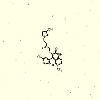 O=C(CCN1CCC(O)C1)CSc1c(-c2cc(Cl)ccc2O)c2cc(C(F)(F)F)ccc2[nH]c1=O